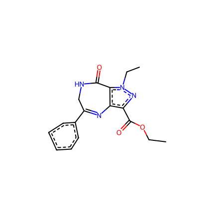 CCOC(=O)c1nn(CC)c2c1N=C(c1ccccc1)CNC2=O